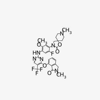 COc1cc(N2CC3(CCN(C)CC3)OC2=O)c(F)cc1Nc1ncc(C(F)(F)F)c(Oc2cccc3c2C(=O)N(C)C3)n1